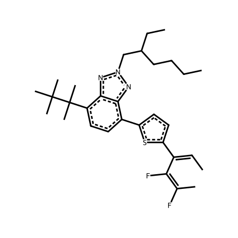 C/C=C(\C(F)=C(/C)F)c1ccc(-c2ccc(C(C)(C)C(C)(C)C)c3nn(CC(CC)CCCC)nc23)s1